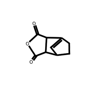 O=C1OC(=O)C2C3C=C(CC3)C12